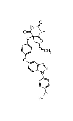 COCCC1(Oc2ccc(Oc3ccc4c(cnn4-c4ccc(OC)nc4)c3)cc2)C(=O)NC(=O)NC1=O